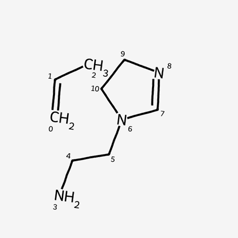 C=CC.NCCN1C=NCC1